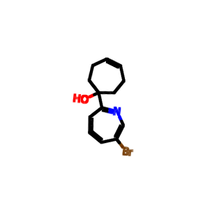 OC1(C2=NC=C(Br)C=C=C2)CCC=CCC1